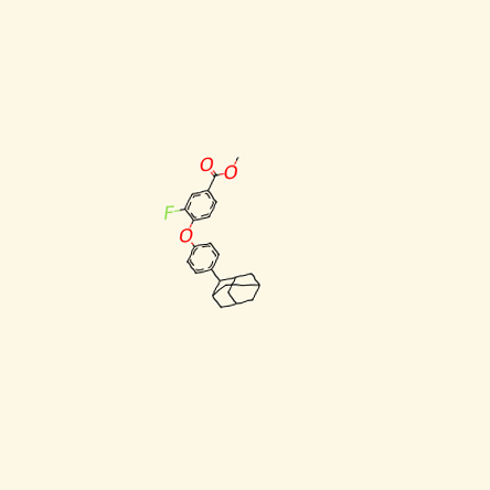 COC(=O)c1ccc(Oc2ccc(C3C4CC5CC(C4)CC3C5)cc2)c(F)c1